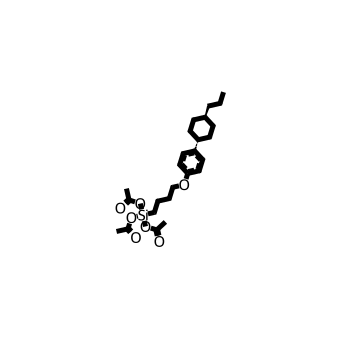 CCC[C@H]1CC[C@H](c2ccc(OCCCC[Si](OC(C)=O)(OC(C)=O)OC(C)=O)cc2)CC1